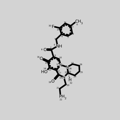 Cc1ccc(CNC(=O)c2cn3c(c(O)c2=O)C(=O)N(CCP)[C@@H]2CCCCN23)c(F)c1